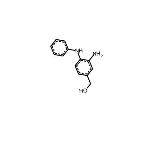 Nc1cc(CO)ccc1Nc1ccccc1